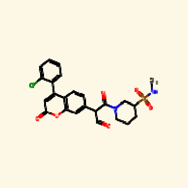 CNS(=O)(=O)C1CCCN(C(=O)C(C=O)c2ccc3c(-c4ccccc4Cl)cc(=O)oc3c2)C1